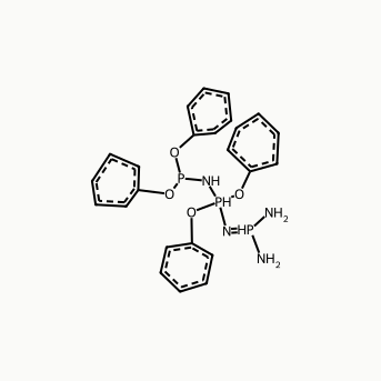 N[PH](N)=N[PH](NP(Oc1ccccc1)Oc1ccccc1)(Oc1ccccc1)Oc1ccccc1